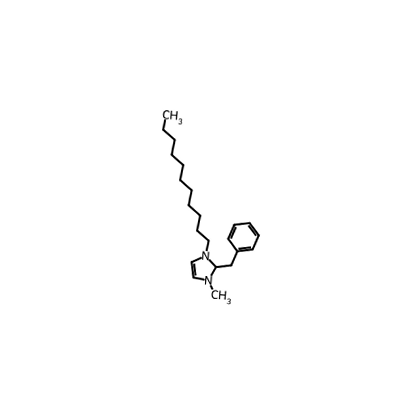 CCCCCCCCCCCN1C=CN(C)C1Cc1ccccc1